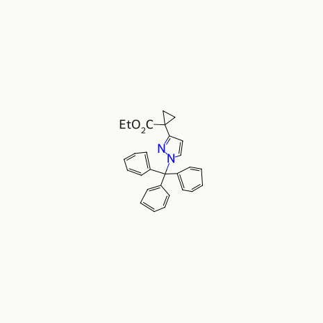 CCOC(=O)C1(c2ccn(C(c3ccccc3)(c3ccccc3)c3ccccc3)n2)CC1